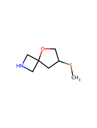 CSC1COC2(CNC2)C1